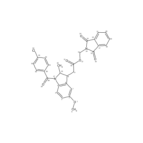 COc1ccc2c(c1)C(CC(=O)OCN1C(=O)c3ccccc3C1=O)C(C)N2C(=O)c1ccc(Cl)cc1